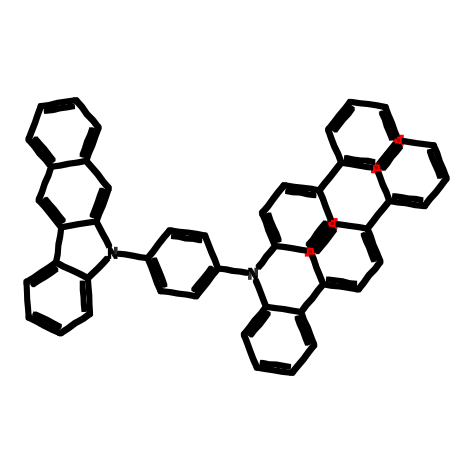 c1ccc(-c2ccc(-c3ccccc3N(c3ccc(-c4ccccc4)cc3)c3ccc(-n4c5ccccc5c5cc6ccccc6cc54)cc3)cc2)cc1